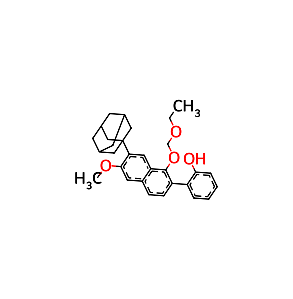 CCOCOc1c(-c2ccccc2O)ccc2cc(OC)c(C34CC5CC(CC(C5)C3)C4)cc12